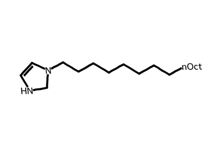 CCCCCCCCCCCCCCCCN1C=CNC1